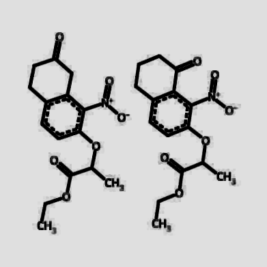 CCOC(=O)C(C)Oc1ccc2c(c1[N+](=O)[O-])C(=O)CCC2.CCOC(=O)C(C)Oc1ccc2c(c1[N+](=O)[O-])CC(=O)CC2